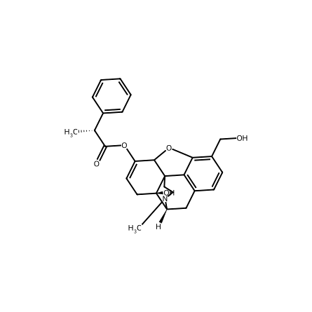 C[C@@H](C(=O)OC1=CC[C@@]2(O)[C@H]3Cc4ccc(CO)c5c4C2(CCN3C)C1O5)c1ccccc1